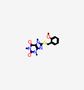 COc1ccccc1CSc1nc2c(c(=O)n(C)c(=O)n2C)n1C